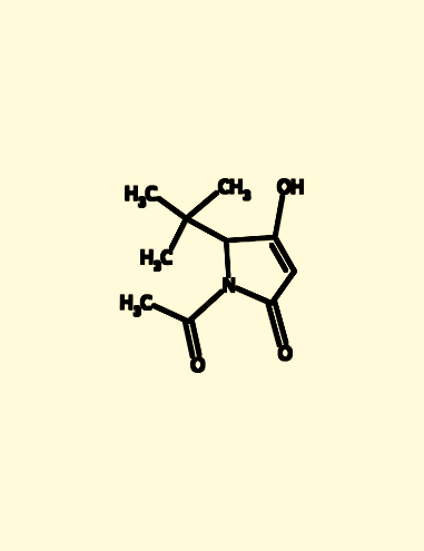 CC(=O)N1C(=O)C=C(O)C1C(C)(C)C